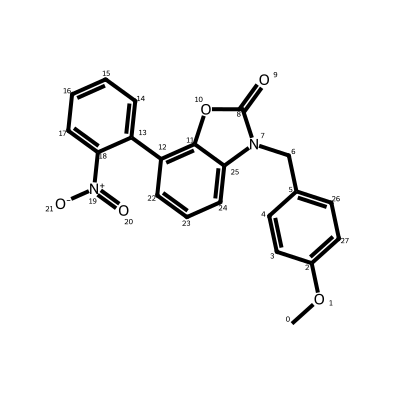 COc1ccc(Cn2c(=O)oc3c(-c4ccccc4[N+](=O)[O-])cccc32)cc1